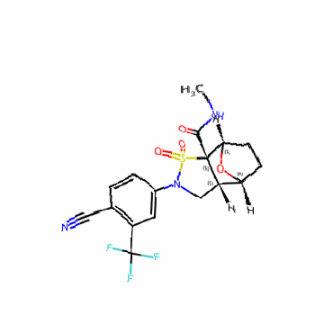 CNC(=O)[C@@]12[C@@H]3CC[C@@H](O3)[C@@H]1CN(c1ccc(C#N)c(C(F)(F)F)c1)S2(=O)=O